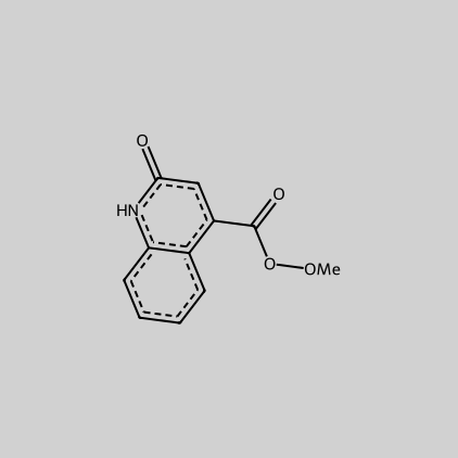 COOC(=O)c1cc(=O)[nH]c2ccccc12